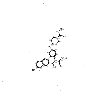 CCC(c1ccc2ccc(C#N)cc2c1)N(C(=O)C(=O)O)c1ccc(OC2CCN(C(=O)OC(C)(C)C)CC2)cc1